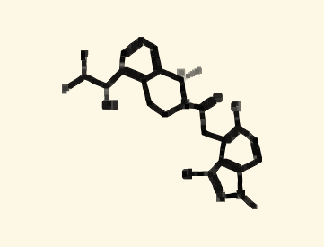 C[C@H]1c2cccc(C(O)C(F)F)c2CCN1C(=O)Cc1c(Cl)ccc2c1c(Cl)nn2C